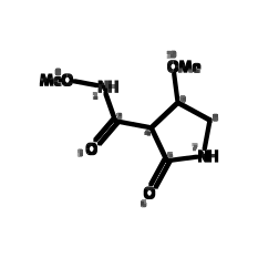 CONC(=O)C1C(=O)NCC1OC